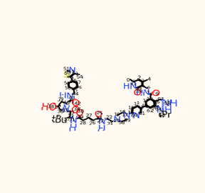 Cc1cc(C)c(CNC(=O)c2cc(-c3ccc(N4CCN(CCNC(=O)CCCC(=O)NC(C(=O)N5C[C@H](O)C[C@H]5C(=O)NCc5ccc(-c6scnc6C)cc5)C(C)(C)C)CC4)nc3)cc(NC(C)C)c2C=N)c(=O)[nH]1